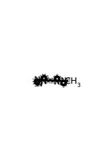 Cc1cccc(-c2cccc(CCCc3cccc(-c4ncccn4)n3)n2)n1